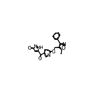 Cc1onc(-c2ccccc2)c1COc1ccc(C(=O)C2=CC(=O)[N]N2)cn1